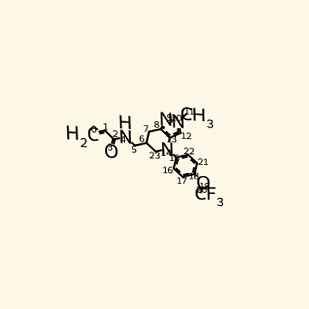 C=CC(=O)NCC1Cc2nn(C)cc2N(c2ccc(OC(F)(F)F)cc2)C1